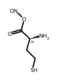 N[C@@H](CCS)C(=O)ON=O